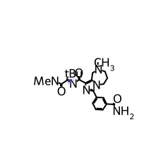 CNC(=O)/C(=N/C(=O)c1nc(-c2cccc(C(N)=O)c2)n2c1CN(C)CCC2)C(C)(C)C